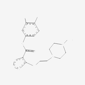 CN1CCN(CCOc2nonc2C(=N)Nc2ccc(F)c(Cl)c2)CC1